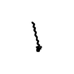 CCCC=CCCCCCCC[N+](C)(C)[O-]